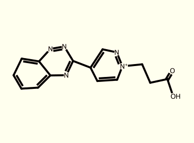 O=C(O)CC[n+]1ccc(-c2nnc3ccccc3n2)cn1